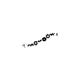 CCCCCC[C@H]1CC[C@H](CCCOc2ccc([C@H]3CC[C@H](CCCC)CC3)cc2)CC1